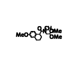 COc1ccc2c(c1)CCCC2C(=O)N(C)CC(OC)OC